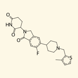 Cc1ccsc1CN1CCC(c2cc3c(cc2F)C(=O)N(C2CCC(=O)NC2=O)C3)CC1